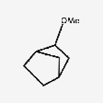 [CH2]OC1CC2CCC1C2